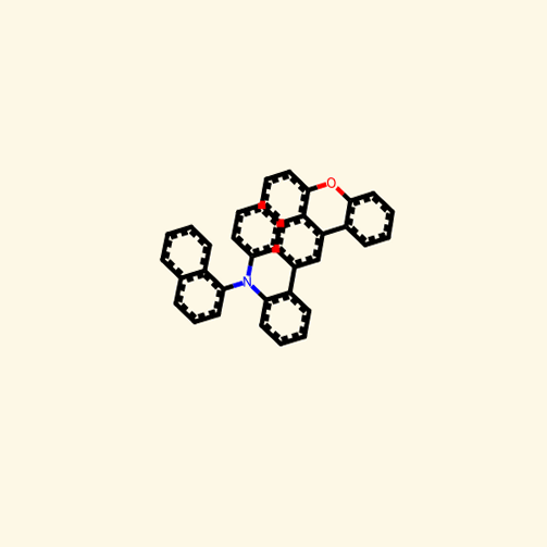 c1ccc(N(c2ccccc2-c2cc3c4c(cccc4c2)Oc2ccccc2-3)c2cccc3ccccc23)cc1